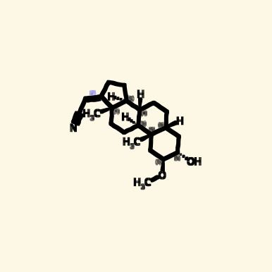 CO[C@H]1C[C@@]2(C)[C@H](CC[C@@H]3[C@@H]2CC[C@]2(C)/C(=C\C#N)CC[C@@H]32)C[C@@H]1O